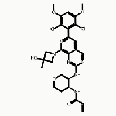 C=CC(=O)N[C@H]1CCOC[C@H]1Nc1ncc2cc(-c3c(Cl)c(OC)cc(OC)c3Cl)nc(N3CC(C)(O)C3)c2n1